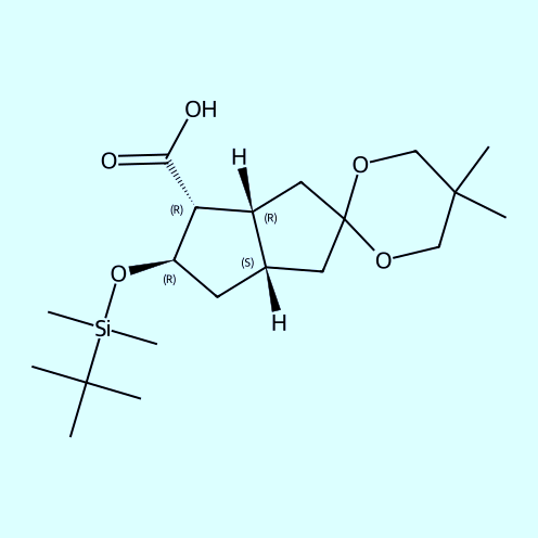 CC1(C)COC2(C[C@@H]3C[C@@H](O[Si](C)(C)C(C)(C)C)[C@H](C(=O)O)[C@@H]3C2)OC1